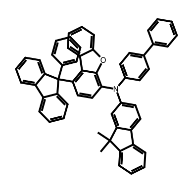 CC1(C)c2ccccc2-c2ccc(N(c3ccc(-c4ccccc4)cc3)c3ccc(C4(c5ccccc5)c5ccccc5-c5ccccc54)c4c3oc3ccccc34)cc21